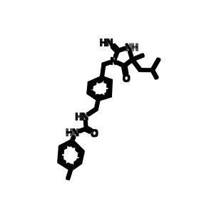 Cc1ccc(NC(=O)NCc2ccc(CN3C(=N)NC(C)(CC(C)C)C3=O)cc2)cc1